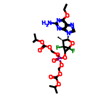 CCOc1nc(N)nc2c1ncn2[C@@H]1O[C@]2(F)C(OP(=O)(OCOC(=O)OC(C)C)OCOC(=O)OC(C)C)[C@]2(F)[C@@H]1C